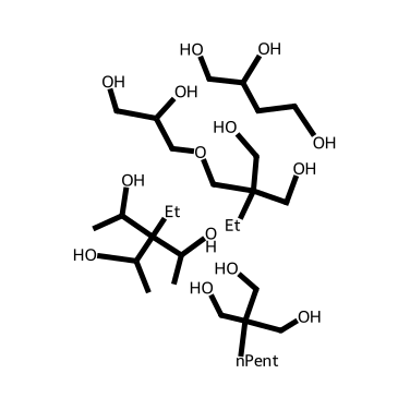 CCC(C(C)O)(C(C)O)C(C)O.CCC(CO)(CO)COCC(O)CO.CCCCCC(CO)(CO)CO.OCCC(O)CO